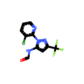 O=CNc1cc(C(F)(F)F)nn1-c1ncccc1Cl